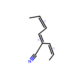 C\C=C/C=C(C#N)\C=C/C